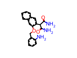 NC(=O)C(C(N)=O)c1cc2ccccc2cc1OCc1ccccc1N